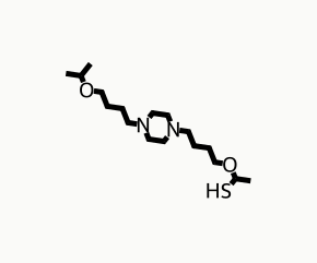 CC(C)OCCCCN1CCN(CCCCOC(C)S)CC1